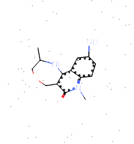 CC1COCc2c(c3cc(N)ccc3n(C)c2=O)N1